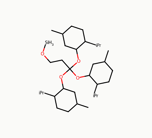 CC1CCC(C(C)C)C(OC(CCO[SiH3])(OC2CC(C)CCC2C(C)C)OC2CC(C)CCC2C(C)C)C1